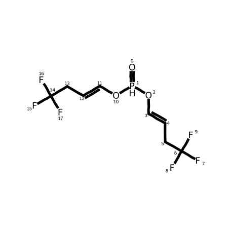 O=[PH](OC=CCC(F)(F)F)OC=CCC(F)(F)F